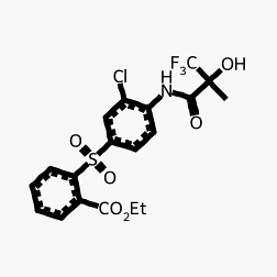 CCOC(=O)c1ccccc1S(=O)(=O)c1ccc(NC(=O)C(C)(O)C(F)(F)F)c(Cl)c1